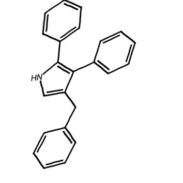 c1ccc(Cc2c[nH]c(-c3ccccc3)c2-c2ccccc2)cc1